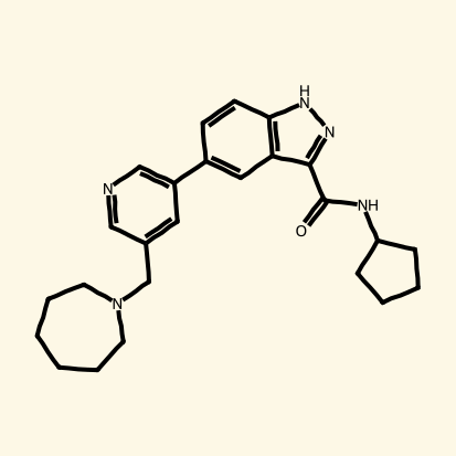 O=C(NC1CCCC1)c1n[nH]c2ccc(-c3cncc(CN4CCCCCC4)c3)cc12